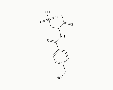 CC(=O)C(CS(=O)(=O)O)NC(=O)c1ccc(CO)cc1